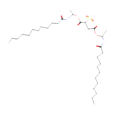 CCCCCCCCCCCC(=O)NC(C)OC(=O)CC(C(=O)OC(C)NC(=O)CCCCCCCCCCC)S(=O)(=O)O